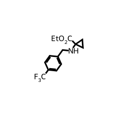 CCOC(=O)C1(NCc2ccc(C(F)(F)F)cc2)CC1